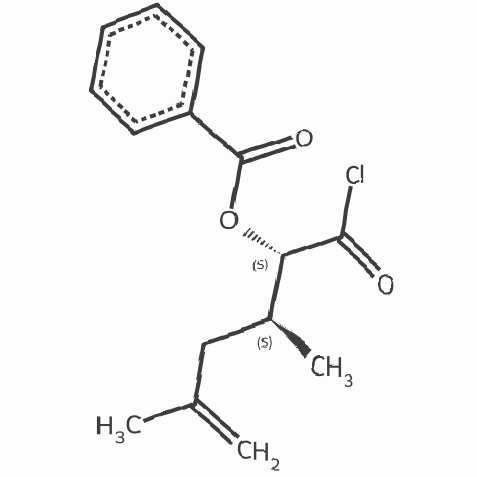 C=C(C)C[C@H](C)[C@H](OC(=O)c1ccccc1)C(=O)Cl